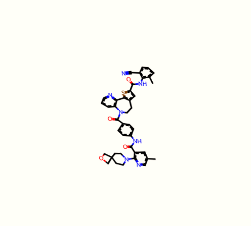 Cc1cnc(N2CCC3(CC2)COC3)c(C(=O)Nc2ccc(C(=O)N3CCc4cc(C(=O)Nc5c(C)cccc5C#N)sc4-c4ncccc43)cc2)c1